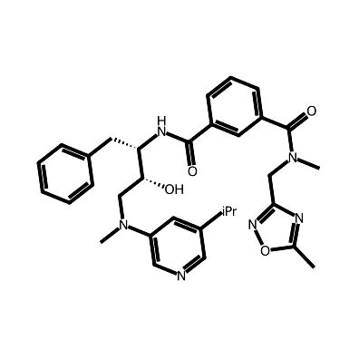 Cc1nc(CN(C)C(=O)c2cccc(C(=O)N[C@@H](Cc3ccccc3)[C@H](O)CN(C)c3cncc(C(C)C)c3)c2)no1